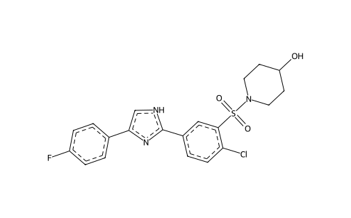 O=S(=O)(c1cc(-c2nc(-c3ccc(F)cc3)c[nH]2)ccc1Cl)N1CCC(O)CC1